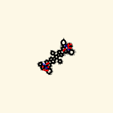 CC12CCCCCCC1(C)N(c1ccccc1)c1ccc(-c3ccc4c5c(-c6ccccc6)c6c7ccc(-c8ccc9c(c8)C8(C)CCCCCCC8(C)N9c8ccccc8)c8c(-c9ccc%10c(c9)C9(C)CCCCCCC9(C)N%10c9ccccc9)ccc(c6c(-c6ccccc6)c5c5ccc(-c6ccc9c(c6)C6(C)CCCCCCC6(C)N9c6ccccc6)c3c45)c87)cc12